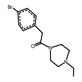 CCN1CCN(C(=O)Cc2ccc(Br)cc2)CC1